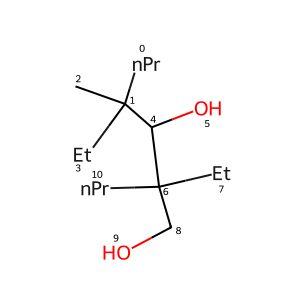 CCCC(C)(CC)C(O)C(CC)(CO)CCC